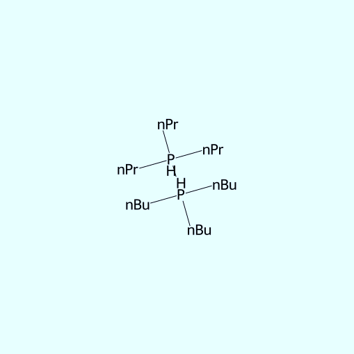 CCCC[PH](CCCC)(CCCC)[PH](CCC)(CCC)CCC